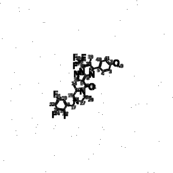 COc1ccc(-c2nc3c(C(=O)N4[C@H](C)CN(Cc5cc(F)cc(F)c5F)C[C@@H]4C)cnn3c(C(F)(F)F)c2C)cc1